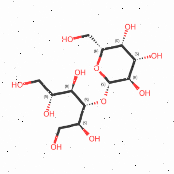 OC[C@@H](O)[C@@H](O)[C@H](O[C@@H]1O[C@H](CO)[C@H](O)[C@H](O)[C@H]1O)[C@@H](O)CO